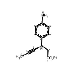 CC#C[C@H](CC(=O)OCC)c1ccc(N)cc1